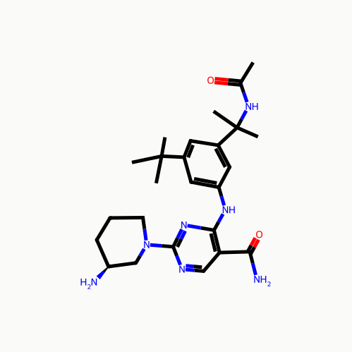 CC(=O)NC(C)(C)c1cc(Nc2nc(N3CCC[C@H](N)C3)ncc2C(N)=O)cc(C(C)(C)C)c1